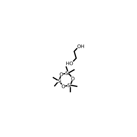 C[Si]1(C)O[Si](C)(C)O[Si](C)(C)O1.OCCO